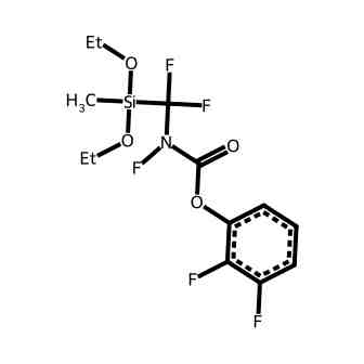 CCO[Si](C)(OCC)C(F)(F)N(F)C(=O)Oc1cccc(F)c1F